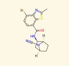 Cc1nc2c(Br)ccc(C(=O)N[C@@H]3C[C@@H]4CC[C@H]3N4C#N)c2s1